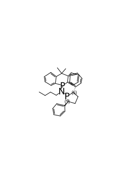 CCCCN(P1c2ccccc2C(C)(C)c2ccccc21)P1[C@H](c2ccccc2)CC[C@H]1c1ccccc1